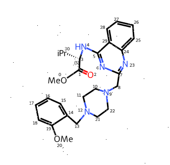 COC(=O)[C@@H](Nc1nc(CN2CCN(Cc3ccccc3OC)CC2)nc2ccccc12)C(C)C